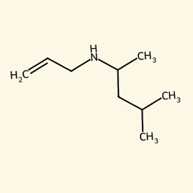 C=CCNC(C)CC(C)C